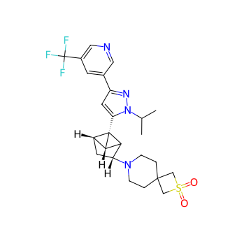 CC(C)n1nc(-c2cncc(C(F)(F)F)c2)cc1[C@@]12C3[C@H](N4CCC5(CC4)CS(=O)(=O)C5)C[C@H]1[C@@H]32